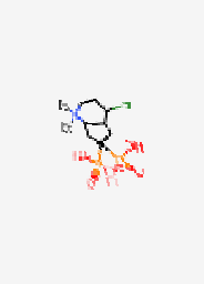 CC[N+]1(CC)CCC(Cl)C2CC(P(=O)(O)O)(P(=O)(O)O)CC21